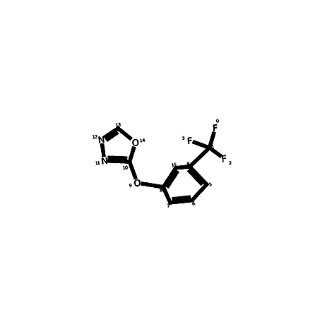 FC(F)(F)c1cccc(Oc2nn[c]o2)c1